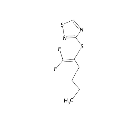 CCCCC(Sc1ncsn1)=C(F)F